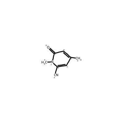 Cc1cc(C#N)n(C)c(=O)c1